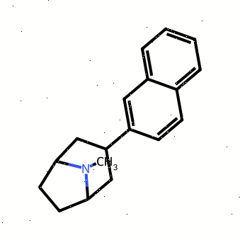 CN1C2CCC1CC(c1ccc3ccccc3c1)C2